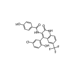 O=C(Nc1c(-c2cc(Cl)ccc2O)c2cc(C(F)(F)F)ccc2[nH]c1=O)c1ccc(O)cc1